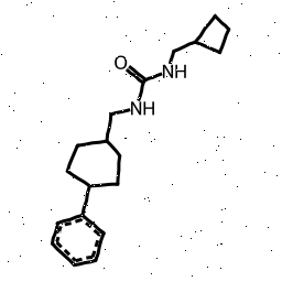 O=C(NCC1CCC1)NCC1CCC(c2ccccc2)CC1